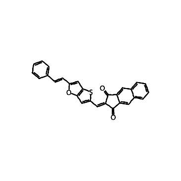 O=C1C(=Cc2cc3oc(/C=C/c4ccccc4)cc3s2)C(=O)c2cc3ccccc3cc21